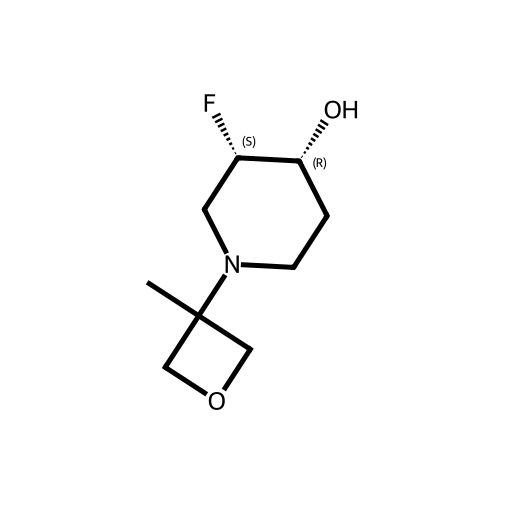 CC1(N2CC[C@@H](O)[C@@H](F)C2)COC1